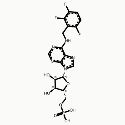 O=P(O)(O)OC[C@H]1O[C@@H](n2cnc3c(NCc4c(F)ccc(F)c4F)ncnc32)[C@H](O)[C@@H]1O